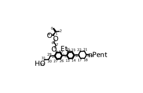 C=C(C)C(=O)OCCOc1cc(-c2ccc(C3CCC(CCCCC)CC3)cc2CC)ccc1CCCO